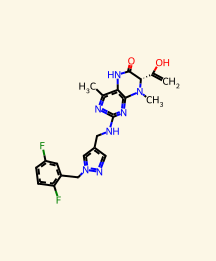 C=C(O)[C@H]1C(=O)Nc2c(C)nc(NCc3cnn(Cc4cc(F)ccc4F)c3)nc2N1C